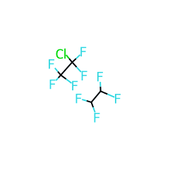 FC(F)(F)C(F)(F)Cl.FC(F)C(F)F